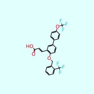 O=C(O)C=Cc1cc(-c2ccc(OC(F)(F)F)cc2)ccc1OCc1ccccc1C(F)(F)F